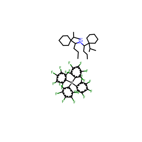 CCCC([NH2+]C(CCC)C1(C(C)C)CCCCC1)C1(C(C)C)CCCCC1.Fc1c(F)c(F)c([B-](c2c(F)c(F)c(F)c(F)c2F)(c2c(F)c(F)c(F)c(F)c2F)c2c(F)c(F)c(F)c(F)c2F)c(F)c1F